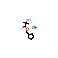 CC(C)(N)C(=O)OCC1CCCC1.Cl